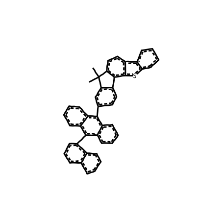 CC1(C)c2cc(-c3c4ccccc4c(-c4cccc5ccccc45)c4ccccc34)ccc2-c2c1ccc1c2sc2ccccc21